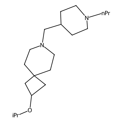 CCCN1CCC(CN2CCC3(CC2)CC(OC(C)C)C3)CC1